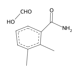 Cc1cccc(C(N)=O)c1C.O=CO